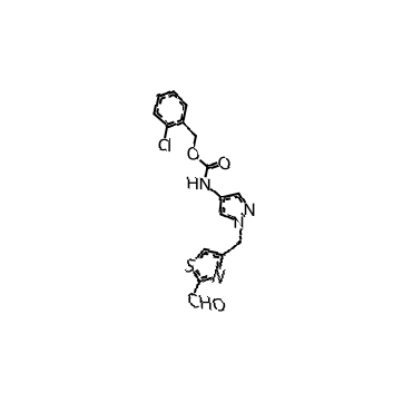 O=Cc1nc(Cn2cc(NC(=O)OCc3ccccc3Cl)cn2)cs1